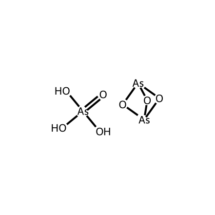 O1[As]2O[As]1O2.O=[As](O)(O)O